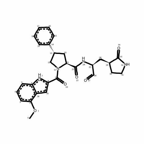 COc1cccc2[nH]c(C(=O)N3C[C@H](c4ccccc4)C[C@H]3C(=O)N[C@H](C=O)C[C@@H]3CCNC3=O)cc12